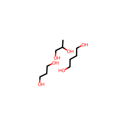 CC(O)CO.OCCCCO.OCCCO